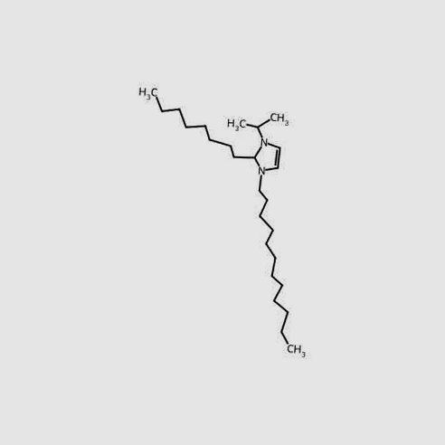 CCCCCCCCCCCCN1C=CN(C(C)C)C1CCCCCCCC